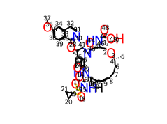 CC[C@@H]1O[C@H](C)CC/C=C\[C@@H]2C[C@@]2(C(=O)NS(=O)(=O)C2CC2)NC(=O)[C@@H]2C[C@@H](Oc3nccc4cc(OC)ccc34)CN2C(=O)[C@H]1NC(=O)O